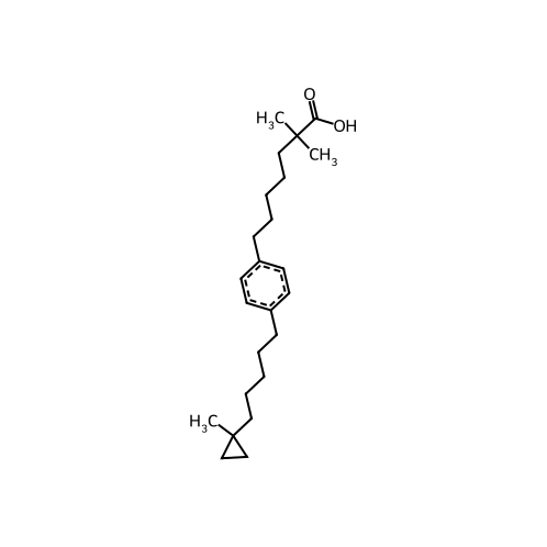 CC1(CCCCCc2ccc(CCCCCC(C)(C)C(=O)O)cc2)CC1